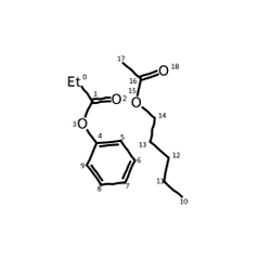 CCC(=O)Oc1ccccc1.CCCCCOC(C)=O